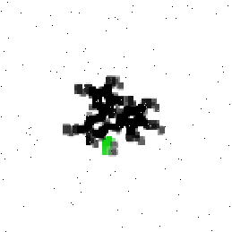 CCCC[C]1([Zr+2][C]2(CCCC)C=C(C)C(C)=C2C)C=C(C)C(C)=C1C.[Cl-].[Cl-]